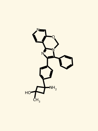 CC1(O)CC(N)(c2ccc(-c3nc4n(c3-c3ccccc3)COc3cnccc3-4)cc2)C1